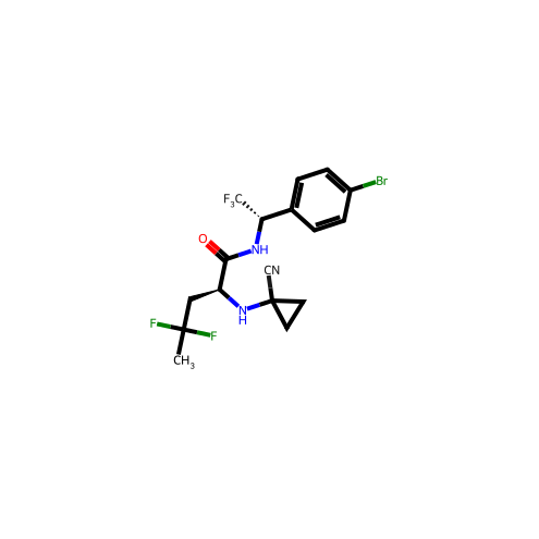 CC(F)(F)C[C@H](NC1(C#N)CC1)C(=O)N[C@@H](c1ccc(Br)cc1)C(F)(F)F